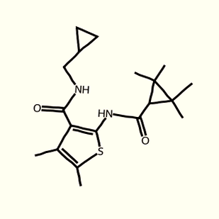 Cc1sc(NC(=O)C2C(C)(C)C2(C)C)c(C(=O)NCC2CC2)c1C